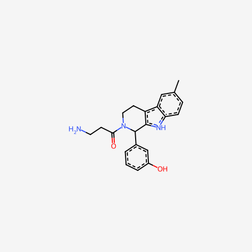 Cc1ccc2[nH]c3c(c2c1)CCN(C(=O)CCN)C3c1cccc(O)c1